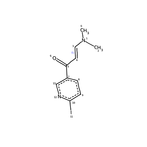 CN(C)/C=C/C(=O)c1ccc(I)nc1